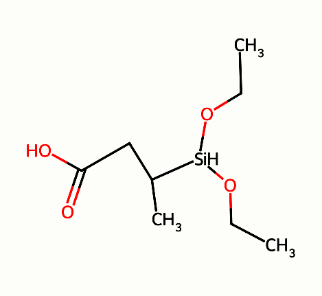 CCO[SiH](OCC)C(C)CC(=O)O